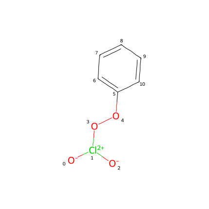 [O-][Cl+2]([O-])OOc1ccccc1